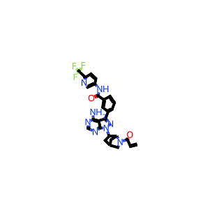 C=CC(=O)N1CC2CC1C(n1nc(-c3cccc(C(=O)Nc4ccc(C(F)(F)F)nc4)c3)c3c(N)ncnc31)C2